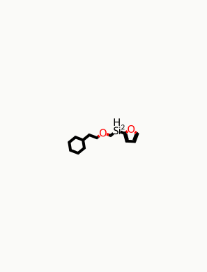 c1coc([SiH2]COCCC2CCCCC2)c1